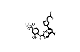 CS(=O)(=O)N1CC[C@@H](Nc2ncc3c(F)cc(C4CCN(CC(F)F)C4)n3n2)[C@H](O)C1